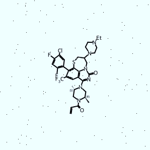 C=CC(=O)N1C[C@H](C)N(c2nc(=O)n3c4c(c(-c5cc(Cl)c(F)cc5F)c(C(F)(F)F)cc24)SCC(N2CCN(CC)CC2)C3)C[C@H]1C